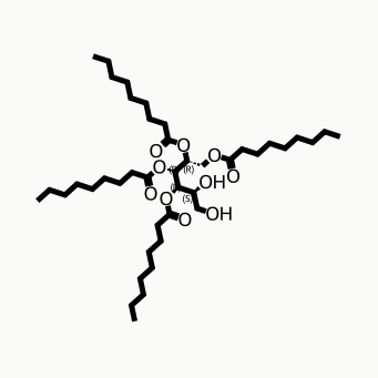 CCCCCCCCC(=O)OC[C@@H](OC(=O)CCCCCCCC)[C@@H](OC(=O)CCCCCCCC)[C@H](OC(=O)CCCCCCCC)[C@@H](O)CO